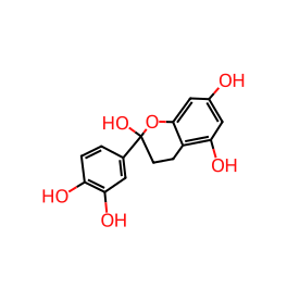 Oc1cc(O)c2c(c1)OC(O)(c1ccc(O)c(O)c1)CC2